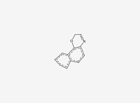 C1=Nc2ccc3ccccc3c2OC1